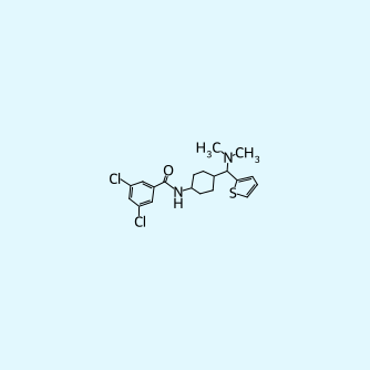 CN(C)C(c1cccs1)C1CCC(NC(=O)c2cc(Cl)cc(Cl)c2)CC1